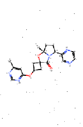 N#Cc1cc(OC2CC3(C2)O[C@@H]2CC[C@@H](c4cnccn4)N2C3=O)ncn1